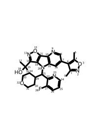 Cc1noc(C)c1-c1cnc2c3onc(C(C)(C)O)c3n(C(c3ncccc3F)C3CCOCC3)c2c1